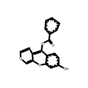 O=C(OC1=C2C=COC=C2Oc2cc(O)ccc21)c1ccccc1